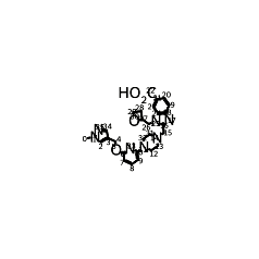 Cn1cc(COc2cccc(N3CCN(Cc4nc5ccc(C(=O)O)cc5n4CC4CCO4)CC3)n2)cn1